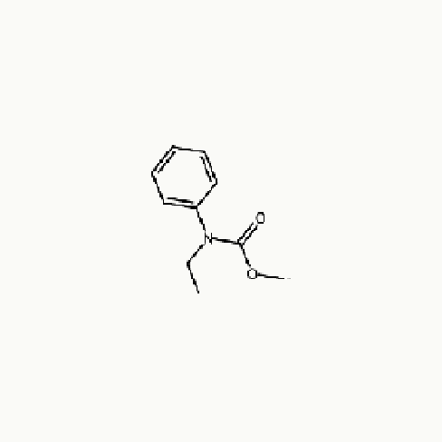 [CH2]OC(=O)N(CC)c1ccccc1